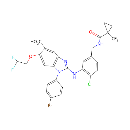 O=C(O)c1cc2nc(Nc3cc(CNC(=O)C4(C(F)(F)F)CC4)ccc3Cl)n(-c3ccc(Br)cc3)c2cc1OCC(F)F